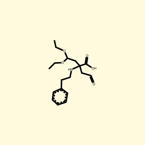 CCOC(CC(CC=O)(NCCc1ccccc1)C(=O)O)OCC